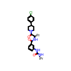 CC(C)NC(=O)Nc1cccc(C(=O)N[C@@H](C(=O)N2CCC(c3ccc(Cl)cc3)CC2)C(C)C)c1